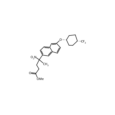 COC(=O)CCC(C)(c1ccc2cc(O[C@H]3CC[C@@H](C(F)(F)F)CC3)ccc2c1)[N+](=O)[O-]